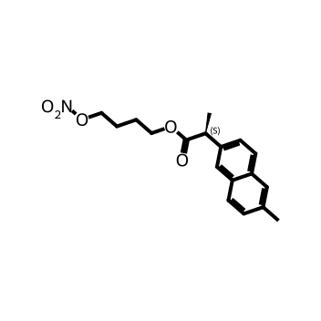 Cc1ccc2cc([C@H](C)C(=O)OCCCCO[N+](=O)[O-])ccc2c1